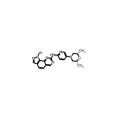 CC(C)n1ncc2ccc3cnc(Nc4ccc(N5C[C@@H](C)O[C@@H](C)C5)cn4)nc3c21